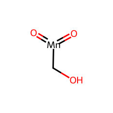 [O]=[Mn](=[O])[CH2]O